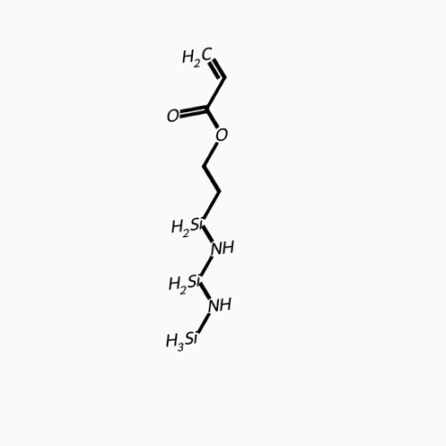 C=CC(=O)OCC[SiH2]N[SiH2]N[SiH3]